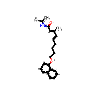 CC(C=CCCCCOc1cccc2ccccc12)=CC(=O)NC(C)C(C)C